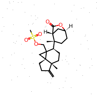 C=C1CC[C@@]23CC2(COS(C)(=O)=O)[C@@H]([C@@]2(C)CC[C@H]4C[C@H]2C(=O)O4)CC[C@]13C